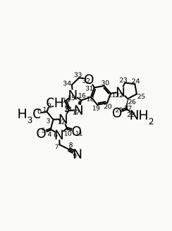 CC(C)C1C(=O)N(CC#N)C(=O)N1c1cn2c(n1)-c1ccc(N3CCC[C@H]3C(N)=O)cc1OCC2